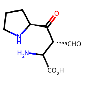 NC(C(=O)O)[C@@H](C=O)C(=O)[C@@H]1CCCN1